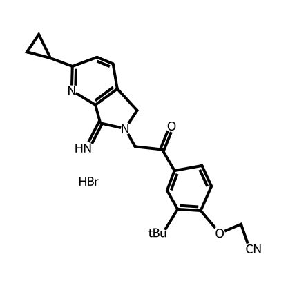 Br.CC(C)(C)c1cc(C(=O)CN2Cc3ccc(C4CC4)nc3C2=N)ccc1OCC#N